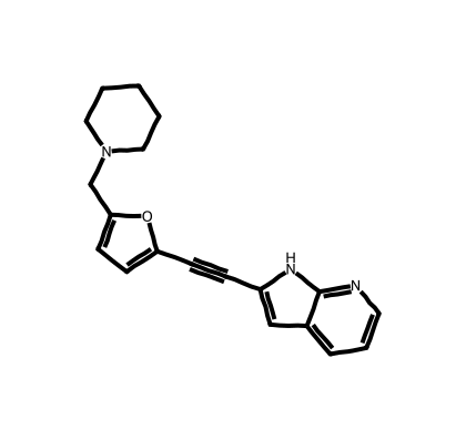 C(#Cc1ccc(CN2CCCCC2)o1)c1cc2cccnc2[nH]1